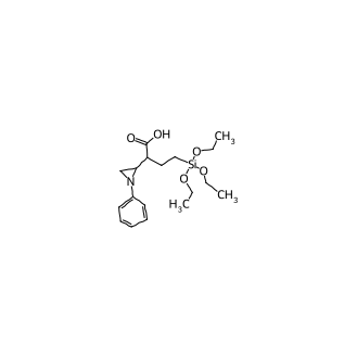 CCO[Si](CCC(C(=O)O)C1CN1c1ccccc1)(OCC)OCC